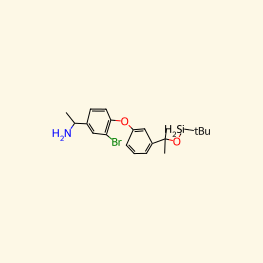 CC(N)c1ccc(Oc2cccc(C(C)(C)O[SiH2]C(C)(C)C)c2)c(Br)c1